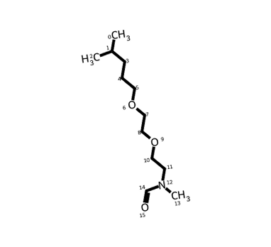 CC(C)CCCOCCOCCN(C)C=O